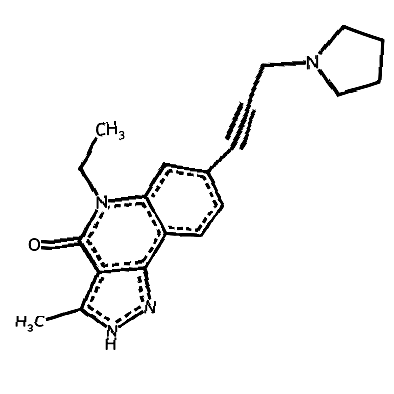 CCn1c(=O)c2c(C)[nH]nc2c2ccc(C#CCN3CCCC3)cc21